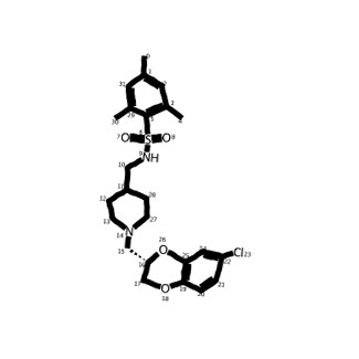 Cc1cc(C)c(S(=O)(=O)NCC2CCN(C[C@H]3COc4ccc(Cl)cc4O3)CC2)c(C)c1